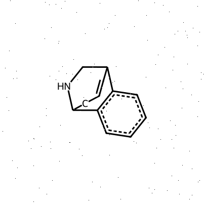 C1=CC2CNC(C1)c1ccccc12